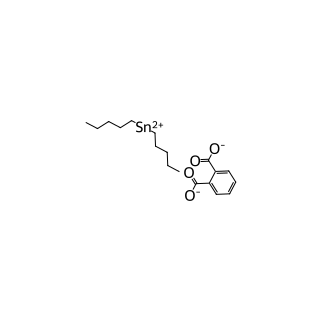 CCCC[CH2][Sn+2][CH2]CCCC.O=C([O-])c1ccccc1C(=O)[O-]